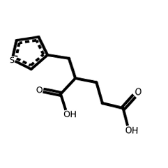 O=C(O)CCC(Cc1ccsc1)C(=O)O